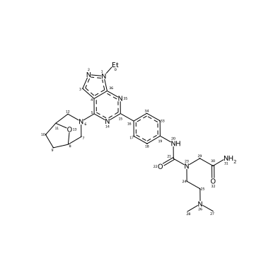 CCn1ncc2c(N3CC4CCC(C3)O4)nc(-c3ccc(NC(=O)N(CCN(C)C)CC(N)=O)cc3)nc21